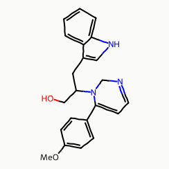 COc1ccc(C2=CC=NCN2C(CO)Cc2c[nH]c3ccccc23)cc1